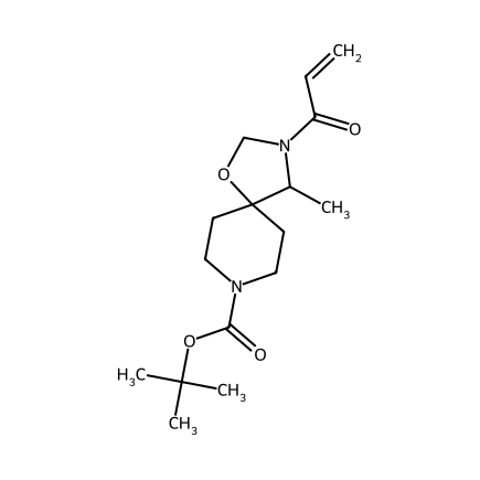 C=CC(=O)N1COC2(CCN(C(=O)OC(C)(C)C)CC2)C1C